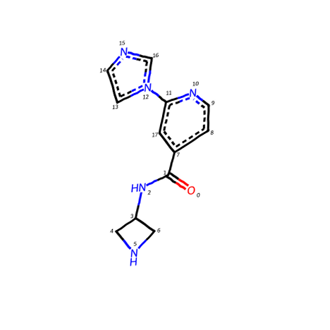 O=C(NC1CNC1)c1ccnc(-n2ccnc2)c1